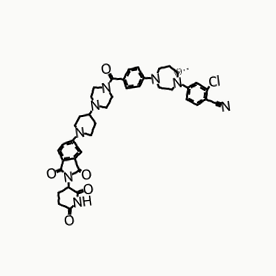 C[C@H]1CCN(c2ccc(C(=O)N3CCN(C4CCN(c5ccc6c(c5)C(=O)N(C5CCC(=O)NC5=O)C6=O)CC4)CC3)cc2)CCN1c1ccc(C#N)c(Cl)c1